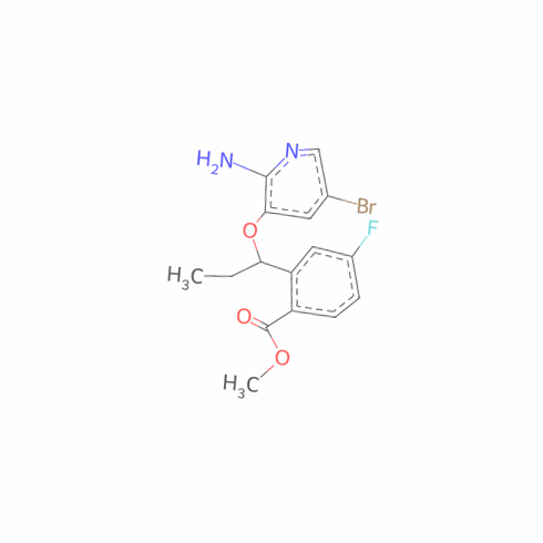 CCC(Oc1cc(Br)cnc1N)c1cc(F)ccc1C(=O)OC